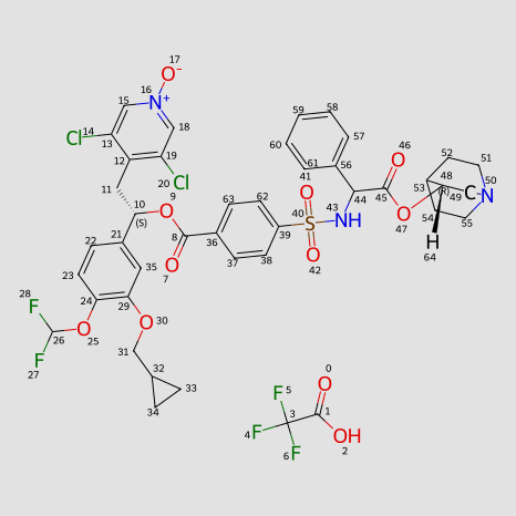 O=C(O)C(F)(F)F.O=C(O[C@@H](Cc1c(Cl)c[n+]([O-])cc1Cl)c1ccc(OC(F)F)c(OCC2CC2)c1)c1ccc(S(=O)(=O)NC(C(=O)O[C@H]2CN3CCC2CC3)c2ccccc2)cc1